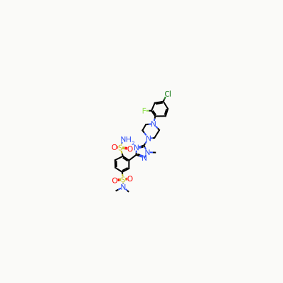 CN(C)S(=O)(=O)c1ccc(S(N)(=O)=O)c(-c2nc(N3CCN(c4ccc(Cl)cc4F)CC3)n(C)n2)c1